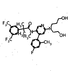 Cc1cc(F)ccc1-c1cc(N(CCO)CCCO)ncc1N(C)C(=O)C(C)(C)c1cc(C(F)(F)F)cc(C(F)(F)F)c1